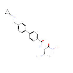 C[C@H](N)[C@H](NC(=O)c1ccc(-c2ccc(CNC3CC3)cc2)cc1)C(=O)NO